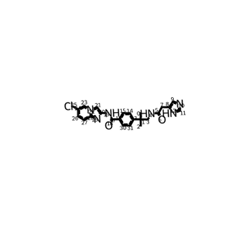 CC(C)(CNC(=O)Cc1cnc[nH]1)c1ccc(C(=O)Nc2cn3cc(Cl)ccc3n2)cc1